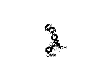 COC1=CC=CC(N)(C(=O)NC2(CCO)CC3(CCN(c4ncc5nccnc5n4)CC3)C2)C1